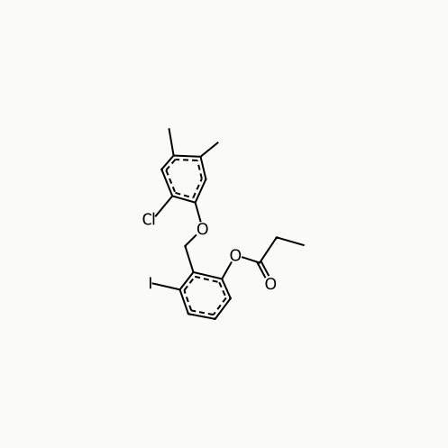 CCC(=O)Oc1cccc(I)c1COc1cc(C)c(C)cc1Cl